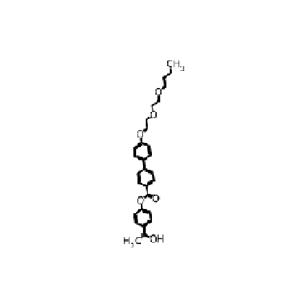 CCCCOCCOCCOc1ccc(-c2ccc(C(=O)Oc3ccc([C@@H](C)O)cc3)cc2)cc1